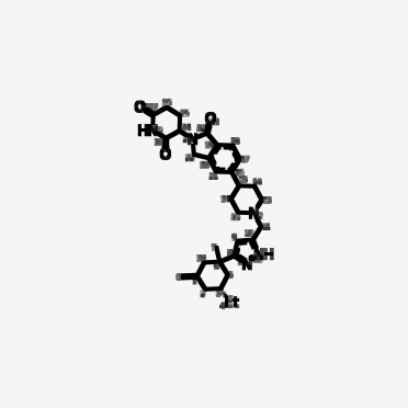 C=C1C[C@@H](CC)CC(C)(c2cc(CN3CCC(c4ccc5c(c4)CN(C4CCC(=O)NC4=O)C5=O)CC3)[nH]n2)C1